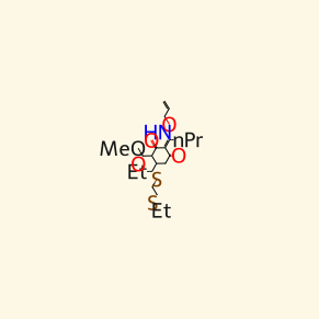 C=CCONC(CCC)=C1C(=O)CC(C(CC)SCCSCC)C(C(=O)OC)C1=O